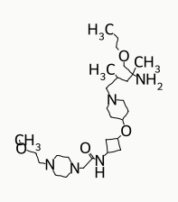 CCCOCC(C)(N)CC(C)CN1CCC(OC2CC(NC(=O)CN3CCN(CCOC)CC3)C2)CC1